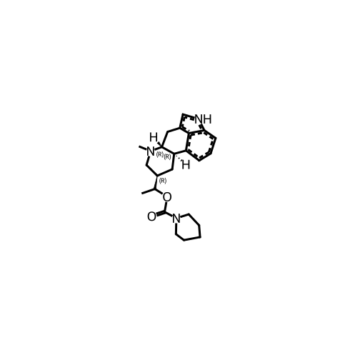 CC(OC(=O)N1CCCCC1)[C@@H]1C[C@@H]2c3cccc4[nH]cc(c34)C[C@H]2N(C)C1